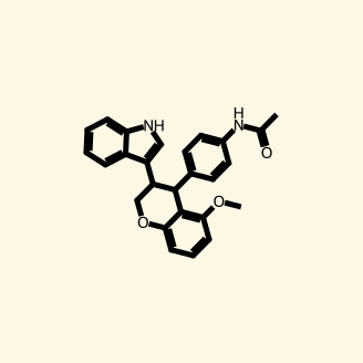 COc1cccc2c1C(c1ccc(NC(C)=O)cc1)C(c1c[nH]c3ccccc13)CO2